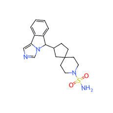 NS(=O)(=O)N1CCC2(CCC(C3c4ccccc4-c4cncn43)C2)CC1